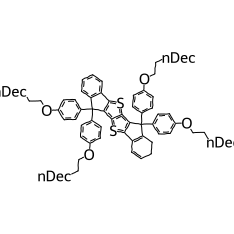 CCCCCCCCCCCCOc1ccc(C2(c3ccc(OCCCCCCCCCCCC)cc3)C3=C(C=CCC3)c3sc4c5c(sc4c32)-c2ccccc2C5(c2ccc(OCCCCCCCCCCCC)cc2)c2ccc(OCCCCCCCCCCCC)cc2)cc1